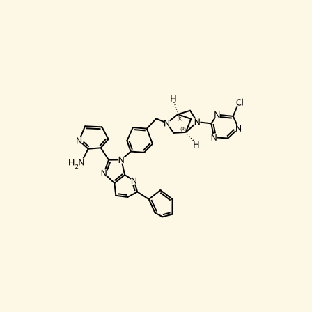 Nc1ncccc1-c1nc2ccc(-c3ccccc3)nc2n1-c1ccc(CN2C[C@H]3C[C@@H]2CN3c2ncnc(Cl)n2)cc1